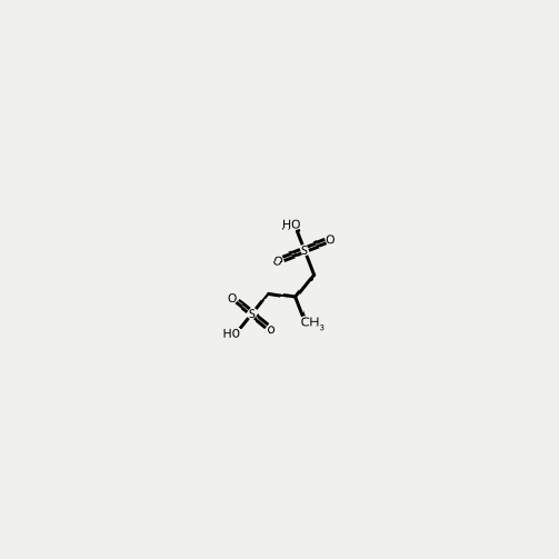 CC(CS(=O)(=O)O)CS(=O)(=O)O